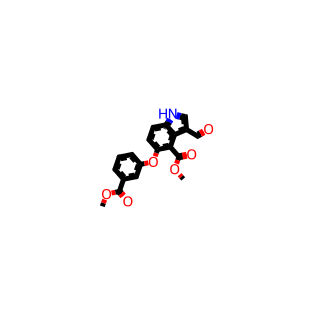 COC(=O)c1cccc(Oc2ccc3[nH]cc(C=O)c3c2C(=O)OC)c1